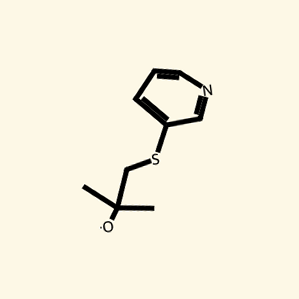 CC(C)([O])CSc1cccnc1